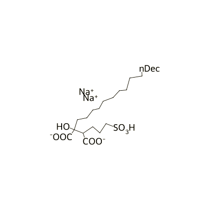 CCCCCCCCCCCCCCCCCCCCC(O)(C(=O)[O-])C(CCCS(=O)(=O)O)C(=O)[O-].[Na+].[Na+]